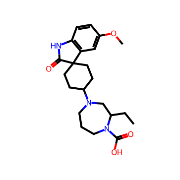 CCC1CN(C2CCC3(CC2)C(=O)Nc2ccc(OC)cc23)CCCN1C(=O)O